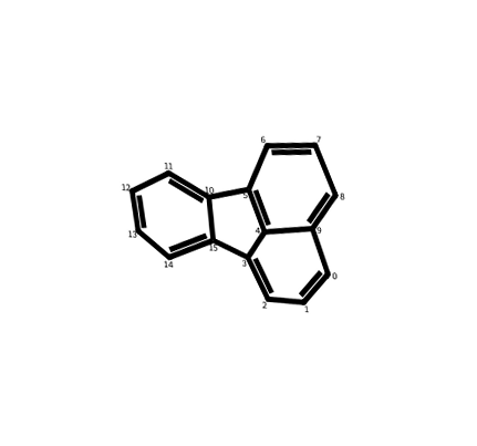 [c]1ccc2c3c(cccc13)-c1ccccc1-2